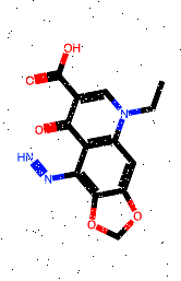 CCn1cc(C(=O)O)c(=O)c2c(N=N)c3c(cc21)OCO3